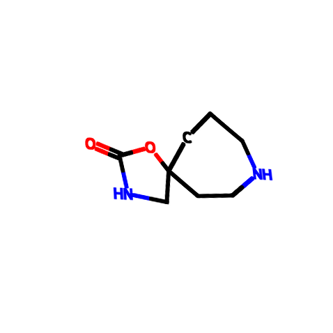 O=C1NCC2(CCCNCC2)O1